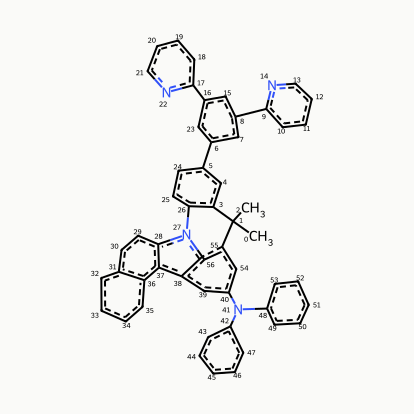 CC1(C)c2cc(-c3cc(-c4ccccn4)cc(-c4ccccn4)c3)ccc2-n2c3ccc4ccccc4c3c3cc(N(c4ccccc4)c4ccccc4)cc1c32